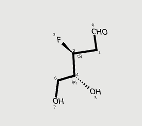 O=CC[C@H](F)[C@H](O)CO